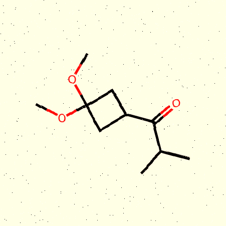 COC1(OC)CC(C(=O)C(C)C)C1